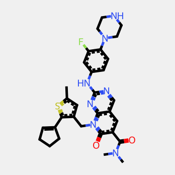 Cc1cc(Cn2c(=O)c(C(=O)N(C)C)cc3cnc(Nc4ccc(N5CCNCC5)c(F)c4)nc32)c(C2=CCCC2)s1